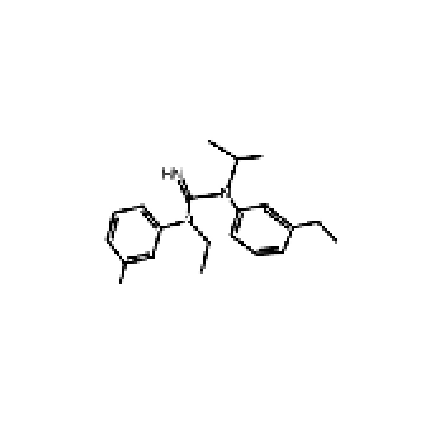 CCc1cccc(N(C(=N)N(CC)c2cccc(C)c2)C(C)C)c1